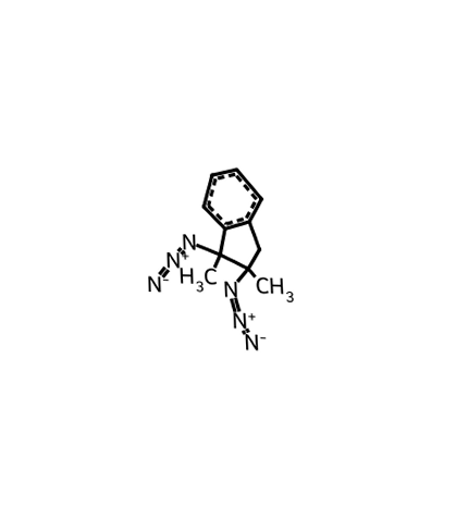 CC1(N=[N+]=[N-])Cc2ccccc2C1(C)N=[N+]=[N-]